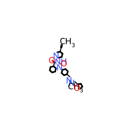 CC#Cc1ccc(NC(=O)c2ccccc2N(C=O)c2ccc(C=NN(C)Cc3ccco3)cc2)nc1